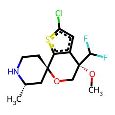 CO[C@]1(C(F)F)CO[C@@]2(CCN[C@@H](C)C2)c2sc(Cl)cc21